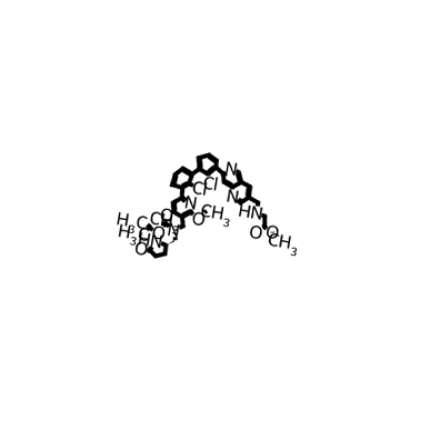 COC(=O)CNCc1cnc2cc(-c3cccc(-c4cccc(-c5ccc(CN(C[C@@H]6CCC(=O)N6)C(=O)OC(C)(C)C)c(OC)n5)c4Cl)c3Cl)ncc2c1